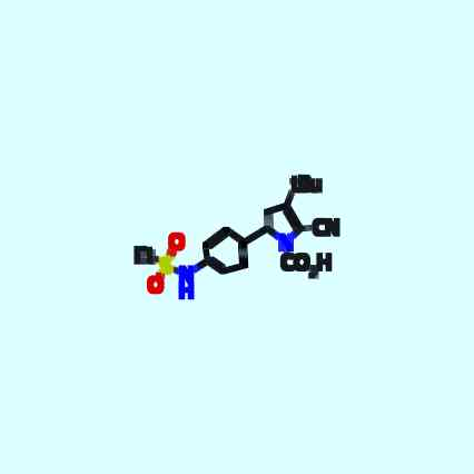 CCS(=O)(=O)Nc1ccc(-c2cc(C(C)(C)C)c(C#N)n2C(=O)O)cc1